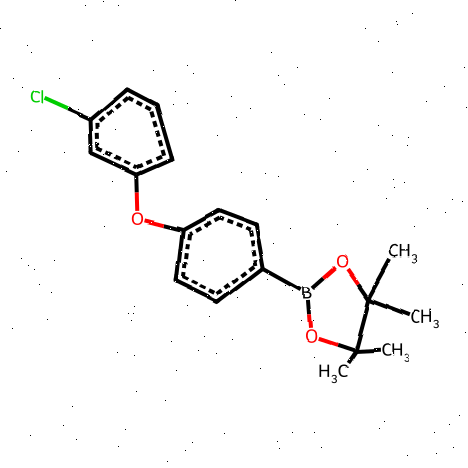 CC1(C)OB(c2ccc(Oc3cccc(Cl)c3)cc2)OC1(C)C